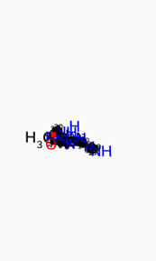 CN(C)C(=O)c1cc2cnc(Nc3ccc(N4CCNCC4)cn3)nc2n1C1CCCN1